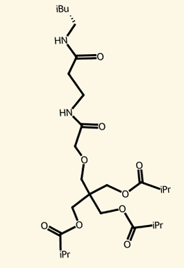 CC[C@@H](C)CNC(=O)CCNC(=O)COCC(COC(=O)C(C)C)(COC(=O)C(C)C)COC(=O)C(C)C